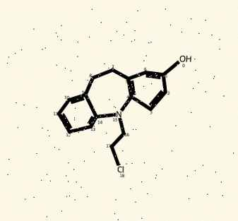 Oc1ccc2c(c1)CCc1ccccc1N2CCCl